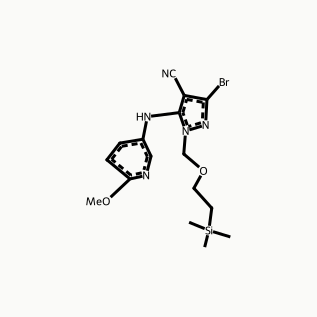 COc1ccc(Nc2c(C#N)c(Br)nn2COCC[Si](C)(C)C)cn1